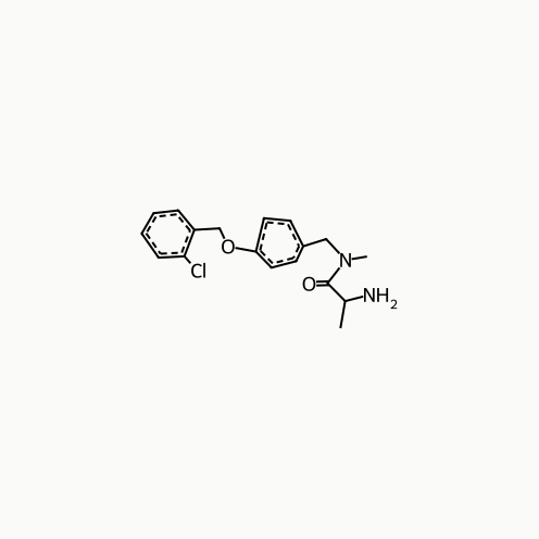 CC(N)C(=O)N(C)Cc1ccc(OCc2ccccc2Cl)cc1